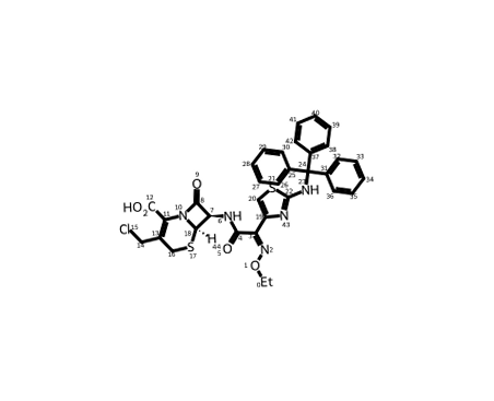 CCO/N=C(\C(=O)N[C@@H]1C(=O)N2C(C(=O)O)=C(CCl)CS[C@H]12)c1csc(NC(c2ccccc2)(c2ccccc2)c2ccccc2)n1